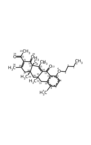 CCCCOc1ccc(C)c2c1C(=O)C1=C(C)[C@@]3(C)C(=O)C(C(C)=O)=C(C)C[C@@]3(C)C[C@@]1(C)C2